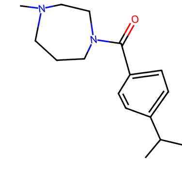 CC(C)c1ccc(C(=O)N2CCCN(C)CC2)cc1